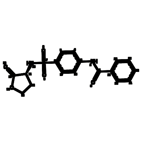 O=C(Nc1ccc(S(=O)(=O)N[C@H]2CCOC2=O)cc1)c1ccccc1